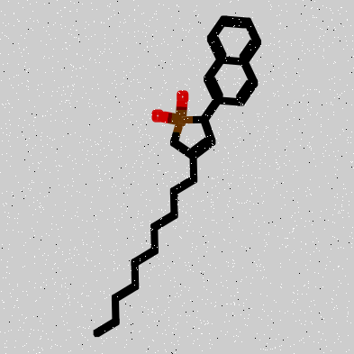 CCCCCCCCCCC1=CC(c2ccc3ccccc3c2)S(=O)(=O)C1